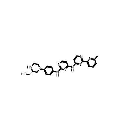 Cc1cccc(-c2nccc(Nc3ccnc(Nc4ccc(N5CCN[C@@H](CO)C5)cc4)n3)n2)n1